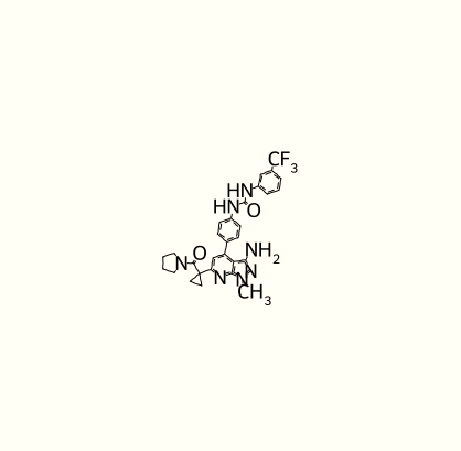 Cn1nc(N)c2c(-c3ccc(NC(=O)Nc4cccc(C(F)(F)F)c4)cc3)cc(C3(C(=O)N4CCCC4)CC3)nc21